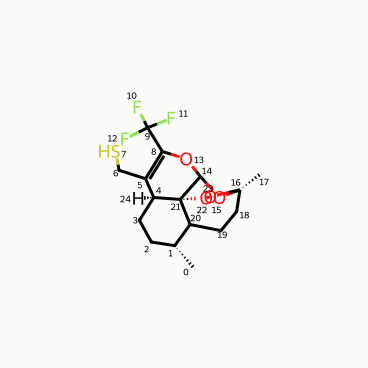 C[C@@H]1CC[C@H]2C(CS)=C(C(F)(F)F)OC3O[C@]4(C)CCC1[C@]32OO4